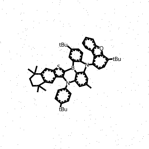 Cc1cc2c3c(c1)N(c1ccc(C(C)(C)C)c4oc5ccccc5c14)c1ccc(C(C)(C)C)cc1B3c1sc3cc4c(cc3c1N2c1ccc(C(C)(C)C)cc1)C(C)(C)CCC4(C)C